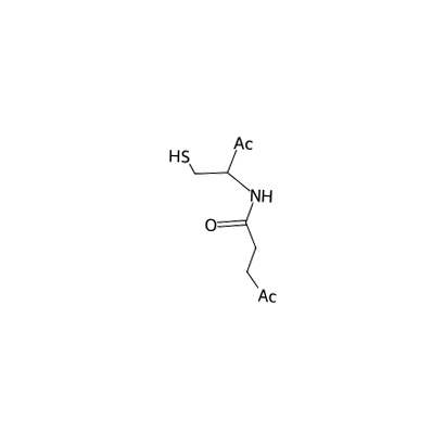 CC(=O)CCC(=O)NC(CS)C(C)=O